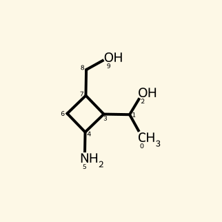 CC(O)C1C(N)CC1CO